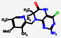 COc1c(C)cnc(CN2c3nc(N)nc(Cl)c3NC(=O)C2(C)C)c1C